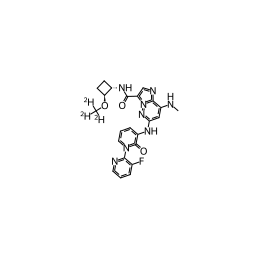 [2H]C([2H])([2H])O[C@H]1CC[C@@H]1NC(=O)c1cnc2c(NC)cc(Nc3cccn(-c4ncccc4F)c3=O)nn12